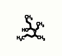 CCCC(C)N(CC)C(O)CCC